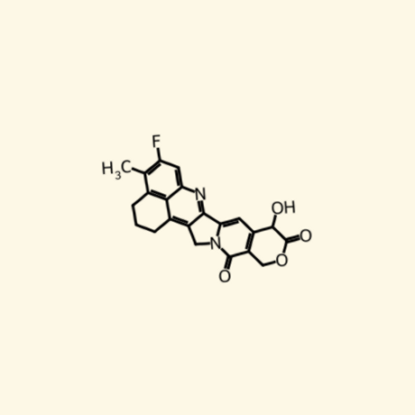 Cc1c(F)cc2nc3c(c4c2c1CCC4)Cn1c-3cc2c(c1=O)COC(=O)C2O